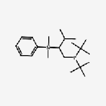 CC(C)C(CP(C(C)(C)C)C(C)(C)C)[Si](C)(C)c1ccccc1